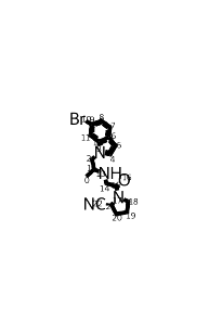 CC(Cn1ccc2ccc(Br)cc21)NCC(=O)N1CCC[C@H]1C#N